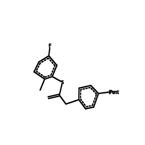 C=C(Cc1ccc(C(C)CCC)cc1)Sc1cc(F)ccc1C